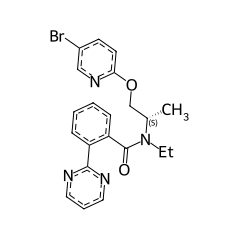 CCN(C(=O)c1ccccc1-c1ncccn1)[C@@H](C)COc1ccc(Br)cn1